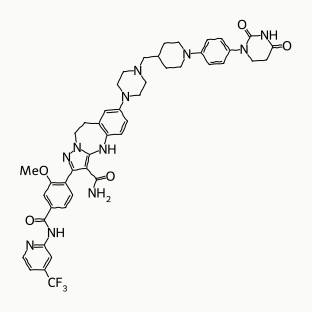 COc1cc(C(=O)Nc2cc(C(F)(F)F)ccn2)ccc1-c1nn2c(c1C(N)=O)Nc1ccc(N3CCN(CC4CCN(c5ccc(N6CCC(=O)NC6=O)cc5)CC4)CC3)cc1CC2